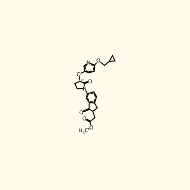 COC(=O)CC1Cc2ccc(N3CC[C@@H](Oc4ccc(OCC5CC5)nc4)C3=O)cc2C1=O